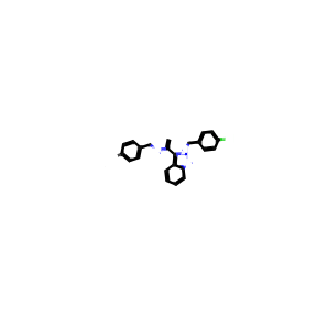 C=C(NCc1ccc(C(=O)O)cc1)c1c2ccccc2nn1Cc1ccc(Cl)cc1